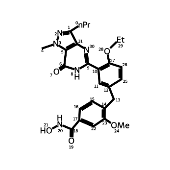 CCCc1nn(C)c2c(=O)[nH]c(-c3cc(Cc4ccc(C(=O)NO)cc4OC)ccc3OCC)nc12